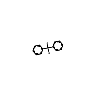 [O]C([O])(c1ccccc1)c1ccccc1